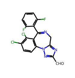 O=Cc1nc2n(n1)-c1ccc(Cl)c(Cl)c1C(c1c(F)cccc1F)=NC2